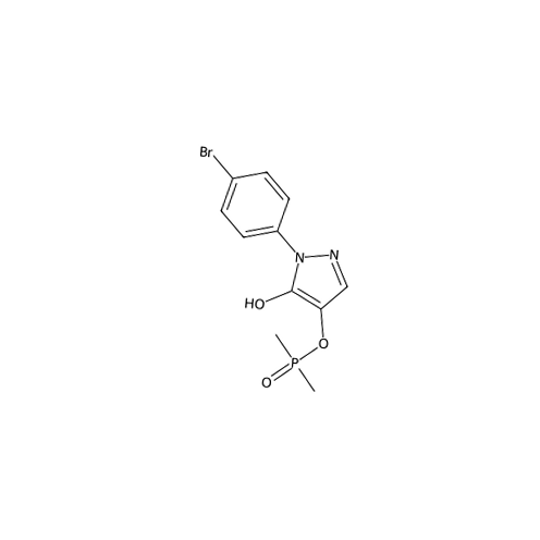 CP(C)(=O)Oc1cnn(-c2ccc(Br)cc2)c1O